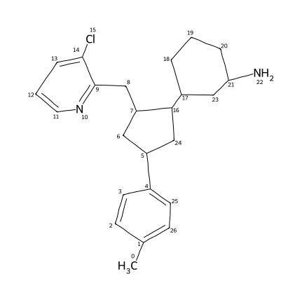 Cc1ccc(C2CC(Cc3ncccc3Cl)C(C3CCCC(N)C3)C2)cc1